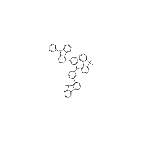 CC1(C)c2ccccc2-c2c(N(c3cccc(-c4cccc5c4C(C)(C)c4ccccc4-5)c3)c3cccc(-c4cccc5c4c4ccccc4n5-c4ccccc4)c3)cccc21